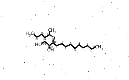 CCCCCCCCCCC(OC(C)CCCC)C(O)CO